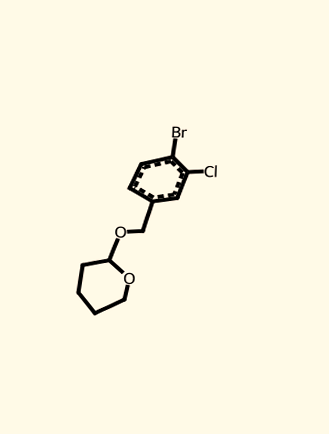 Clc1cc(COC2CCCCO2)ccc1Br